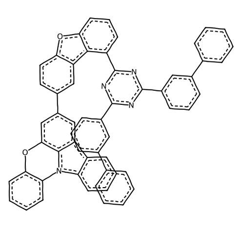 c1ccc(-c2cccc(-c3nc(-c4cccc(-c5ccccc5)c4)nc(-c4cccc5oc6ccc(-c7cc8c9c(c7)c7ccccc7n9-c7ccccc7O8)cc6c45)n3)c2)cc1